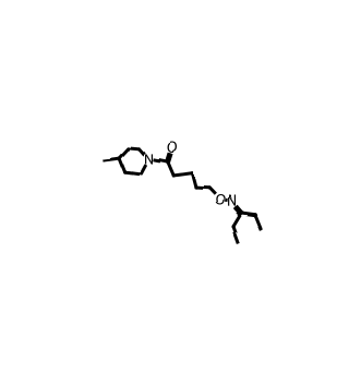 CCC(CC)=NOCCCCC(=O)N1CCC(C)CC1